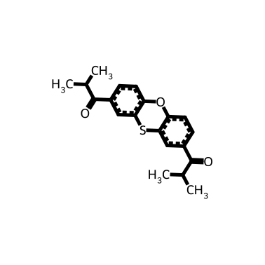 CC(C)C(=O)c1ccc2c(c1)Sc1cc(C(=O)C(C)C)ccc1O2